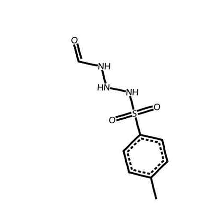 Cc1ccc(S(=O)(=O)NNNC=O)cc1